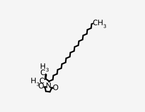 C/C=C(\C)C(CCCCCCCCCCCCCCCCCCCCC)N1C(=O)CCC1=O